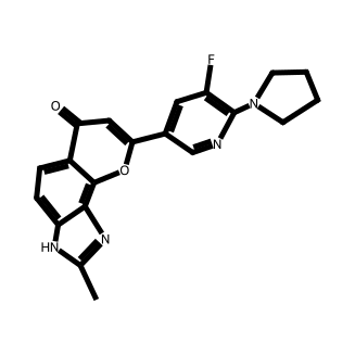 Cc1nc2c(ccc3c(=O)cc(-c4cnc(N5CCCC5)c(F)c4)oc32)[nH]1